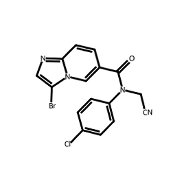 N#CCN(C(=O)c1ccc2ncc(Br)n2c1)c1ccc(Cl)cc1